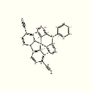 N#CC1=CC2C(C=C1)c1ccc(C#N)cc1C21c2ccccc2N(c2ccccc2)c2ccccc21